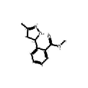 COC(=O)c1ccccc1C1CC(C)=NO1